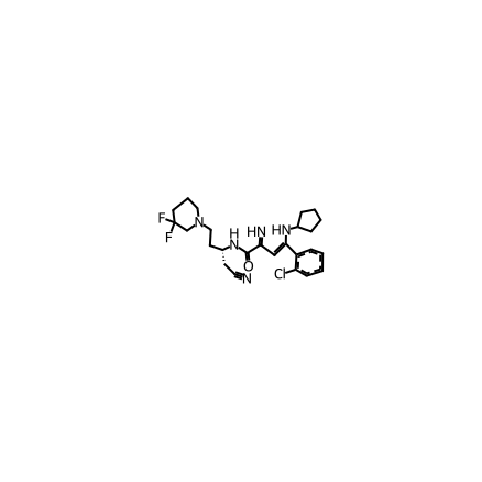 N#CC[C@H](CCN1CCCC(F)(F)C1)NC(=O)C(=N)/C=C(\NC1CCCC1)c1ccccc1Cl